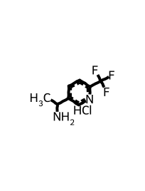 CC(N)c1ccc(C(F)(F)F)nc1.Cl